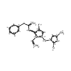 C=Cn1/c(=N/C(=C)Cc2ccccc2)c(F)cn1Sc1cc(C)sc1Cl